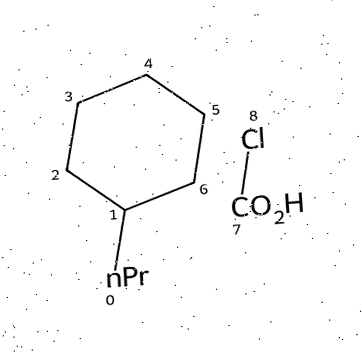 CCCC1CCCCC1.O=C(O)Cl